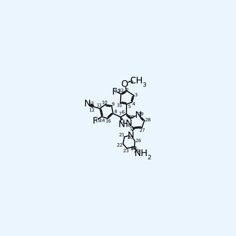 COc1ccc(-c2c(-c3ccc(C#N)c(F)c3)nn3c(N4CCC[C@@H](N)C4)ccnc23)cc1F